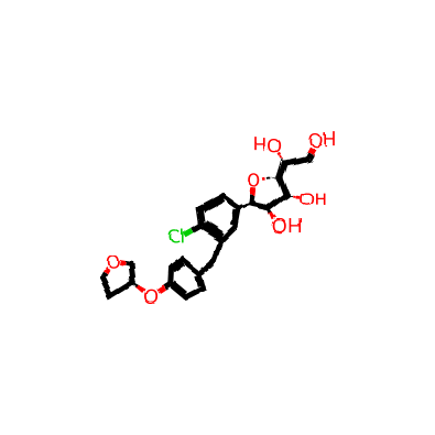 OC[C@@H](O)[C@H]1O[C@H](c2ccc(Cl)c(Cc3ccc(O[C@H]4CCOC4)cc3)c2)[C@H](O)[C@H]1O